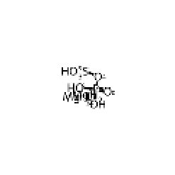 O=P(O)(O)OS(=O)(=O)O.[MgH2].[MgH2]